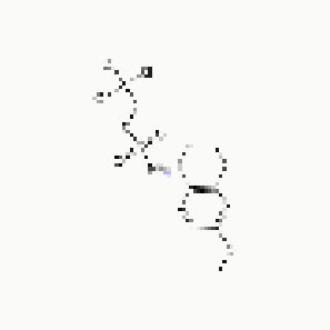 COc1ccc2c(c1)CCC/C2=N\S(=O)(=O)OCC(Cl)(Cl)Cl